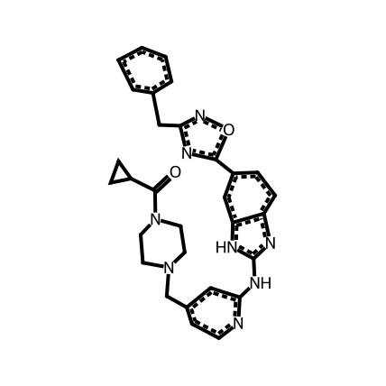 O=C(C1CC1)N1CCN(Cc2ccnc(Nc3nc4ccc(-c5nc(Cc6ccccc6)no5)cc4[nH]3)c2)CC1